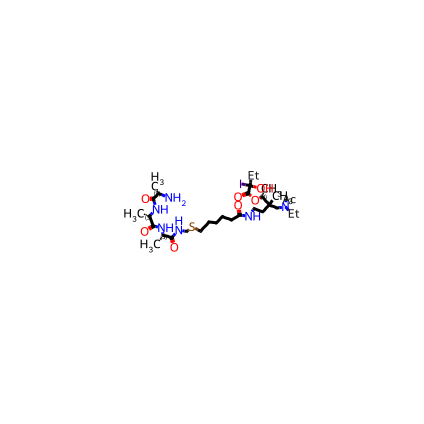 CCN(CC(C)(CCNC(=O)CCCCCSCNC(=O)[C@H](C)NC(=O)[C@H](C)NC(=O)[C@H](C)N)[C@@H](C)OC(=O)C(O)(I)CC)C(C)=O